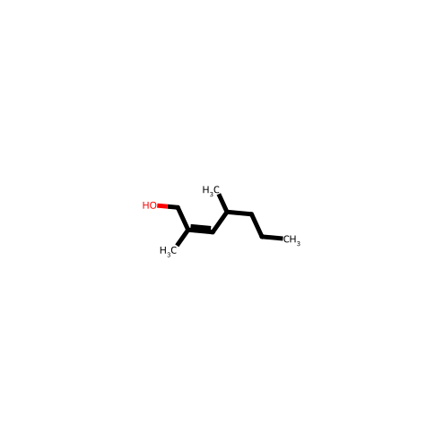 CCCC(C)C=C(C)CO